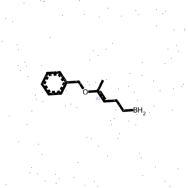 BCC/C=C(\C)OCc1ccccc1